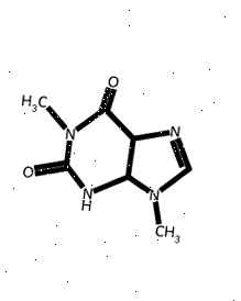 CN1C(=O)NC2C(N=CN2C)C1=O